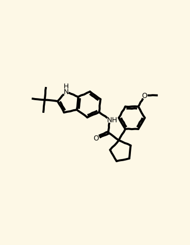 COc1ccc(C2(C(=O)Nc3ccc4[nH]c(C(C)(C)C)cc4c3)CCCC2)cc1